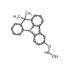 CC1(C)c2ccccc2-n2c3ccc(OBO)cc3c3cccc1c32